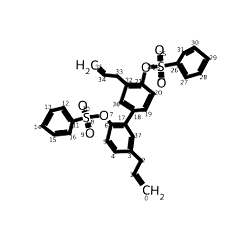 C=CCc1ccc(OS(=O)(=O)c2ccccc2)c(-c2ccc(OS(=O)(=O)c3ccccc3)c(CC=C)c2)c1